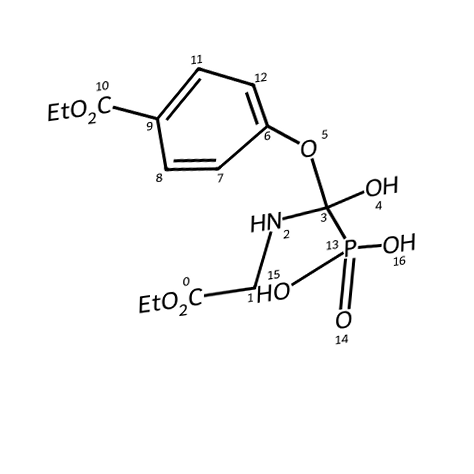 CCOC(=O)CNC(O)(Oc1ccc(C(=O)OCC)cc1)P(=O)(O)O